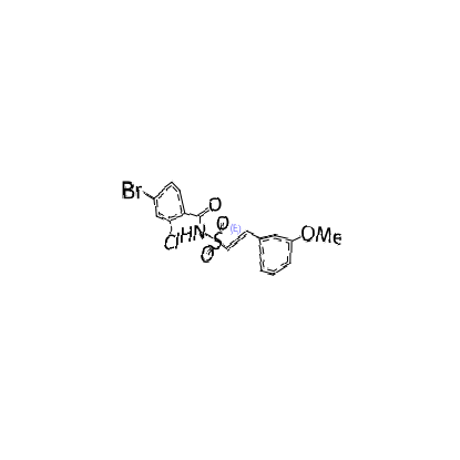 COc1cccc(/C=C/S(=O)(=O)NC(=O)c2ccc(Br)cc2Cl)c1